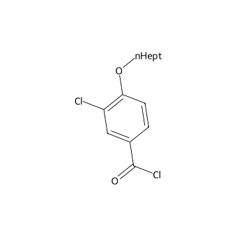 CCCCCCCOc1ccc(C(=O)Cl)cc1Cl